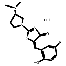 CN(C)[C@@H]1CCN(C2=NC(=O)C(=Cc3cc(F)ccc3O)S2)C1.Cl